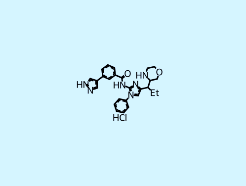 CCC(c1cn(-c2ccccc2)c(NC(=O)c2cccc(-c3cn[nH]c3)c2)n1)C1COCCN1.Cl